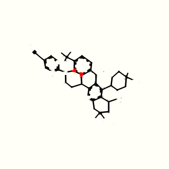 CC1(C)Cc2nc(C3CCN(c4ncc(C#N)cn4)CC3)c([C@@H](F)c3ccc(C(F)(F)F)cc3)c(C3CCC(F)(F)CC3)c2C(O)C1